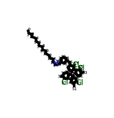 CCCCCCCCCCCCCCCC[N+](C)(C)Cc1cccc(Cc2ccc([B-](c3ccc(C)c(Cl)c3)(c3ccc(C)c(Cl)c3)c3ccc(C)c(Cl)c3)cc2Cl)c1